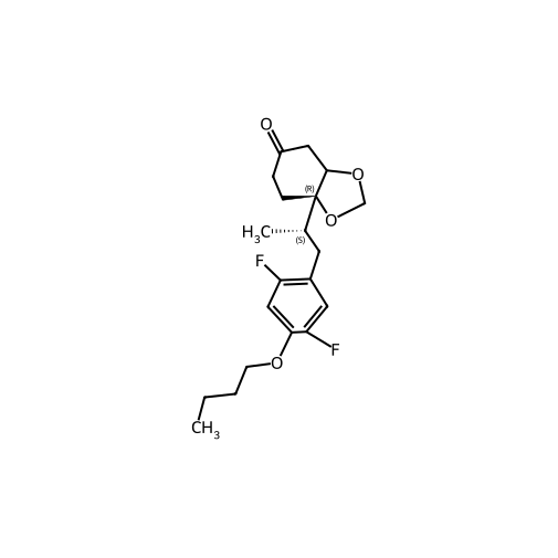 CCCCOc1cc(F)c(C[C@H](C)[C@]23CCC(=O)CC2OCO3)cc1F